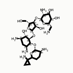 NC[C@@H]1O[C@H](O[C@H]2[C@@H](O)[C@H](O[C@@H]3[C@@H](O)[C@H](N)C[C@H](N)[C@H]3O[C@H]3OC(C4(N)CC4)CC[C@H]3N)O[C@@H]2CO)[C@H](N)[C@@H](O)[C@@H]1O